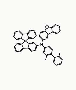 Cc1ccccc1-c1ccc(N(c2ccc3c(c2)C2(c4ccccc4-c4ccccc42)c2ccccc2-3)c2ccc3oc4ccccc4c3c2)cc1C